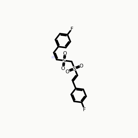 O=S(=O)(C=Cc1ccc(F)cc1)CS(=O)(=O)/C=C\c1ccc(F)cc1